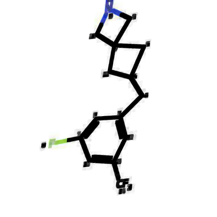 Fc1cc(CC2CC3(CNC3)C2)cc(C(F)(F)F)c1